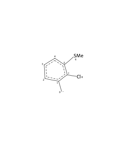 [CH2]c1cccc(SC)c1Cl